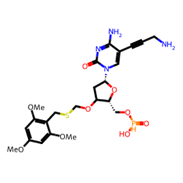 COc1cc(OC)c(CSCOC2C[C@H](n3cc(C#CCN)c(N)nc3=O)O[C@@H]2CO[PH](=O)O)c(OC)c1